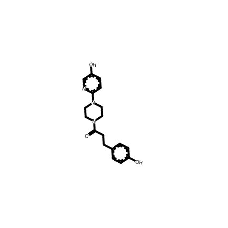 O=C(CCc1ccc(O)cc1)N1CCN(c2ccc(O)cn2)CC1